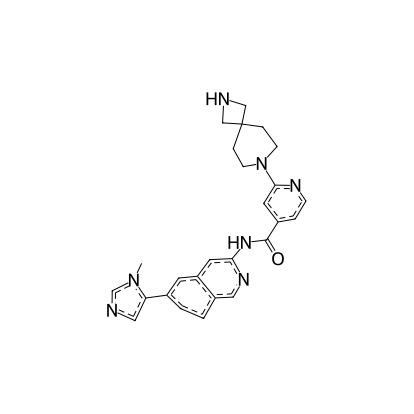 Cn1cncc1-c1ccc2cnc(NC(=O)c3ccnc(N4CCC5(CC4)CNC5)c3)cc2c1